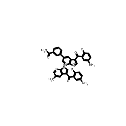 Cc1cnc2[nH]cc(C(=O)c3cc(N)ccc3F)c2c1.NC(=O)c1cccc(-c2cnc3[nH]cc(C(=O)c4cc(N)ccc4F)c3c2)c1